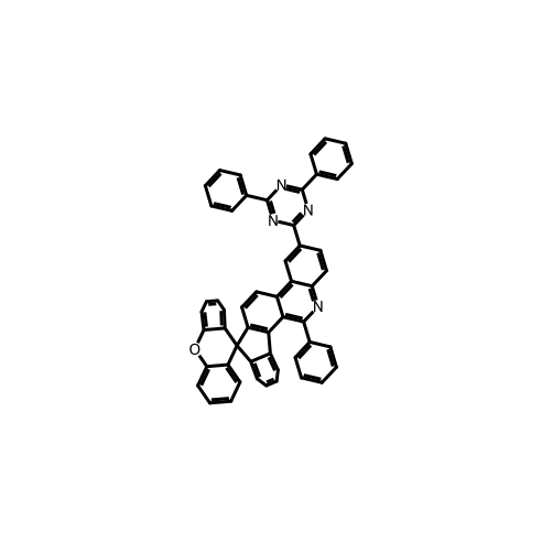 c1ccc(-c2nc(-c3ccccc3)nc(-c3ccc4nc(-c5ccccc5)c5c6c(ccc5c4c3)C3(c4ccccc4Oc4ccccc43)c3ccccc3-6)n2)cc1